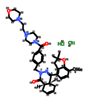 COc1ccc(C2=NN(Cc3ccc(C(=O)N4CCN(CCN5CCOCC5)CC4)cc3)C(=O)[C@@H]3CC=CC[C@H]23)c2c1OC(C)(C)C2.Cl.Cl